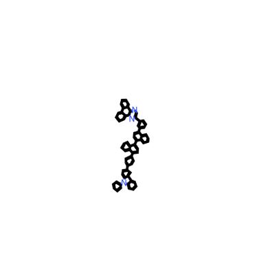 c1ccc(-n2c3ccccc3c3cc(-c4ccc(-c5ccc(-c6ccc(-c7cccc(-c8cnc9c%10ccccc%10c%10ccccc%10c9n8)c7)c7ccccc67)c6ccccc56)cc4)ccc32)cc1